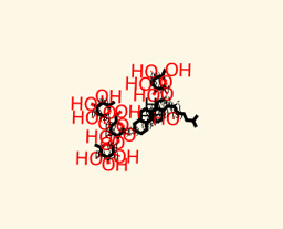 CC(C)CC[C@H](O)[C@@H](C)[C@H]1[C@@H](O[C@@H]2OC(CO)[C@@H](O)[C@H](O)C2O)C[C@H]2[C@@H]3CC=C4C[C@@H](O[C@@H]5OC(CO)[C@@H](O[C@@H]6OC(C)[C@H](O)C(O)[C@H]6O)[C@H](O)C5O[C@@H]5OC(C)[C@H](O)C(O)[C@@H]5O)CC[C@]4(C)[C@H]3CC[C@]12C